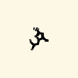 CCc1cc(C(F)(F)F)nn1CC(F)F